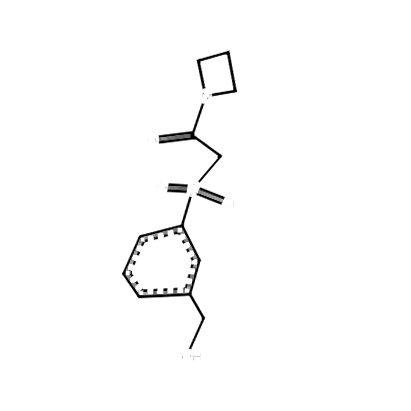 O=C(CS(=O)(=O)c1cccc(CO)c1)N1CCC1